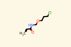 C=CC(=O)NCOCCCCl